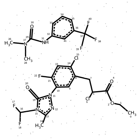 CCOC(=O)C(Cl)Cc1cc(-n2nc(C)n(C(F)F)c2=O)c(F)cc1Cl.CN(C)C(=O)Nc1cccc(C(F)(F)F)c1